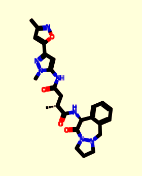 Cc1cc(-c2cc(NC(=O)C[C@@H](C)C(=O)N[C@@H]3C(=O)N4CCCN4Cc4ccccc43)n(C)n2)on1